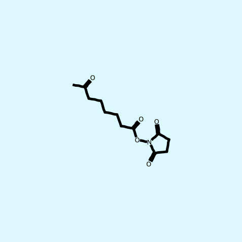 CC(=O)CCCCCC(=O)ON1C(=O)CCC1=O